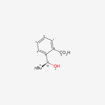 CCCC[C@H](O)c1ccccc1C(=O)O